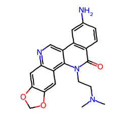 CN(C)CCn1c(=O)c2ccc(N)cc2c2cnc3cc4c(cc3c21)OCO4